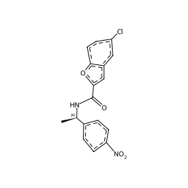 C[C@@H](NC(=O)c1cc2cc(Cl)ccc2o1)c1ccc([N+](=O)[O-])cc1